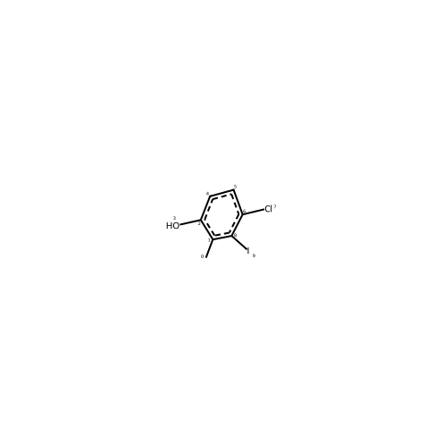 Cc1c(O)ccc(Cl)c1I